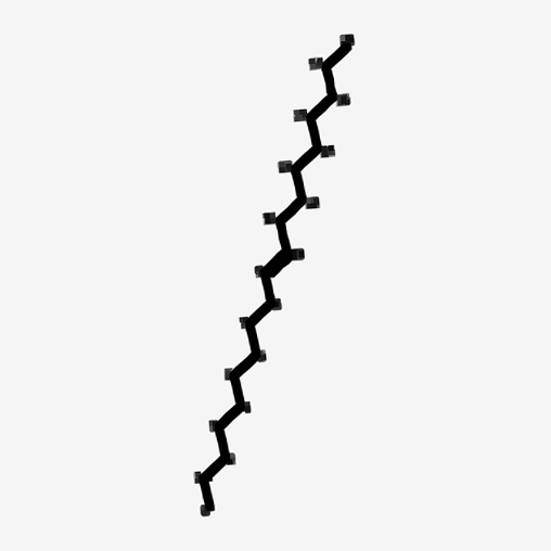 C[CH]CCCCCCCC=CCCCCCCCC